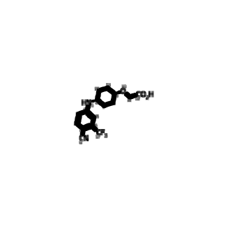 N#Cc1ccc(N[C@H]2CC[C@H](OCC(=O)O)CC2)cc1C(F)(F)F